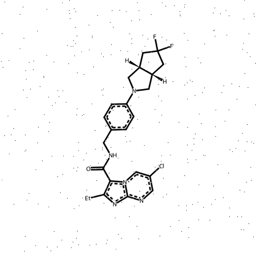 CCc1nc2ncc(Cl)cn2c1C(=O)NCc1ccc(N2C[C@@H]3CC(F)(F)C[C@@H]3C2)cc1